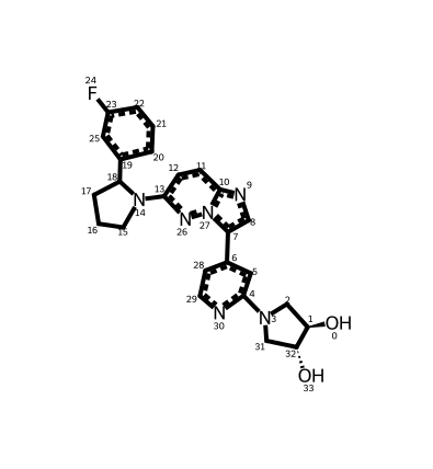 O[C@@H]1CN(c2cc(-c3cnc4ccc(N5CCCC5c5cccc(F)c5)nn34)ccn2)C[C@H]1O